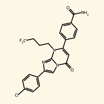 NC(=O)c1ccc(-c2cc(=O)n3cc(-c4ccc(Cl)cc4)nc3n2CCCC(F)(F)F)cc1